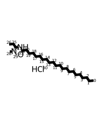 CCCCCCCCCCCCCCCCCCCCCC(=O)NC(CC)N(C)C.Cl